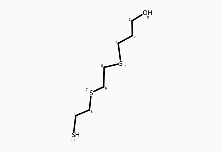 OCCCSCCSCCS